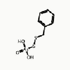 O=[As](O)(O)SSCc1ccccc1